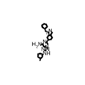 Cc1cccc(Nc2nc3c(N)nc(-c4ccc5cnn(Cc6ccccc6)c5c4)cn3n2)c1